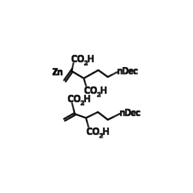 C=C(C(=O)O)C(CCCCCCCCCCCC)C(=O)O.C=C(C(=O)O)C(CCCCCCCCCCCC)C(=O)O.[Zn]